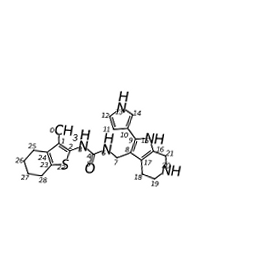 Cc1c(NC(=O)NCc2c(-c3cc[nH]c3)[nH]c3c2CCNC3)sc2c1CCCC2